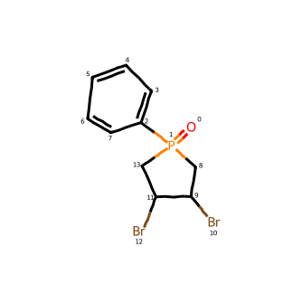 O=P1(c2ccccc2)CC(Br)C(Br)C1